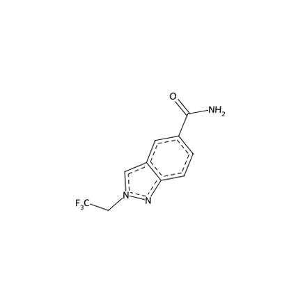 NC(=O)c1ccc2nn(CC(F)(F)F)cc2c1